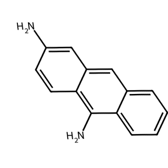 Nc1ccc2c(N)c3ccccc3cc2c1